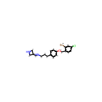 Clc1ccc(COc2ccc(CCCNCC3CNC3)cc2)c(Br)c1